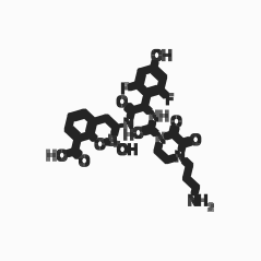 NCCCN1CCN(C(=O)NC(C(=O)N[C@H]2Cc3cccc(C(=O)O)c3OB2O)c2c(F)cc(O)cc2F)C(=O)C1=O